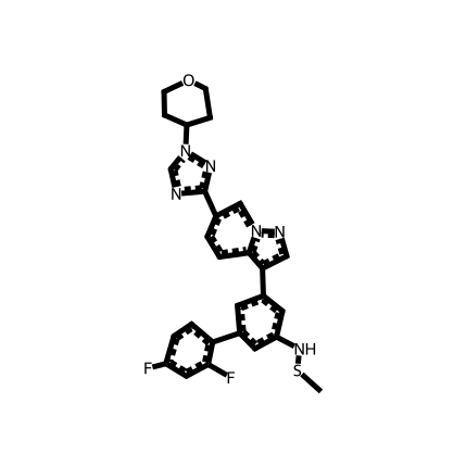 CSNc1cc(-c2ccc(F)cc2F)cc(-c2cnn3cc(-c4ncn(C5CCOCC5)n4)ccc23)c1